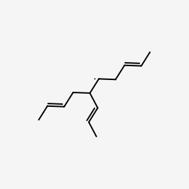 CC=CC[CH]C(C=CC)CC=CC